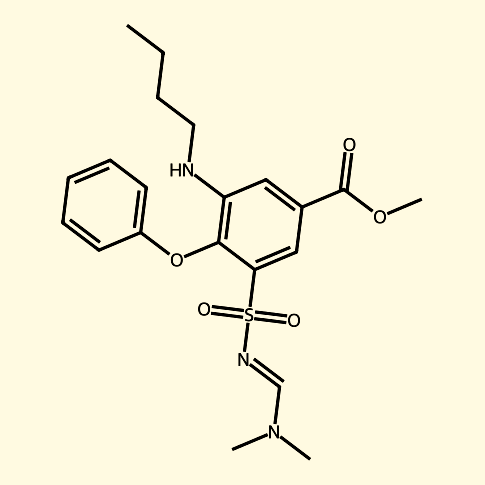 CCCCNc1cc(C(=O)OC)cc(S(=O)(=O)N=CN(C)C)c1Oc1ccccc1